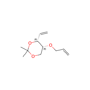 C=CCO[C@@H]1COC(C)(C)O[C@@H]1C=C